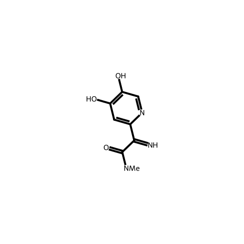 CNC(=O)C(=N)c1cc(O)c(O)cn1